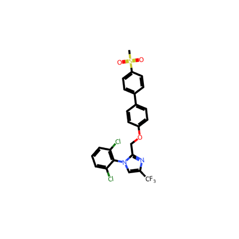 CS(=O)(=O)c1ccc(-c2ccc(OCc3nc(C(F)(F)F)cn3-c3c(Cl)cccc3Cl)cc2)cc1